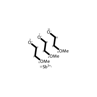 COCC[O-].COCC[O-].COCC[O-].[Sb+3]